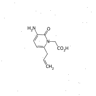 C=CCc1ccc(N)c(=O)n1CC(=O)O